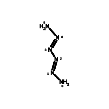 NN=NN=NN